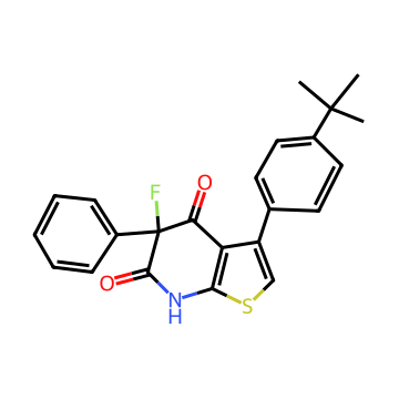 CC(C)(C)c1ccc(-c2csc3c2C(=O)C(F)(c2ccccc2)C(=O)N3)cc1